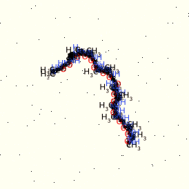 CC(=O)Nc1cn(C)c(C(=O)Nc2cc(C(=O)NCCC(=O)Nc3cn(C)c(C(=O)Nc4cn(C)c(C(=O)Nc5cc(C(=O)Nc6cn(C)c(C(=O)NCCCC(=O)Nc7cc(C(=O)Nc8cn(C)c(C(=O)NCCC(=O)Nc9cc(C(=O)Nc%10cc(C(=O)Nc%11ccc%12cc(C(=O)NCCC(=O)NCCCN(C)C)[nH]c%12c%11)n(C)c%10)n(C)c9)n8)n(C)c7)n6)n(C)c5)n4)n3)n(C)c2)n1